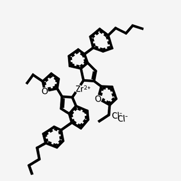 CCCCc1ccc(-c2cccc3c2C=C(c2ccc(CC)o2)[CH]3[Zr+2][CH]2C(c3ccc(CC)o3)=Cc3c(-c4ccc(CCCC)cc4)cccc32)cc1.[Cl-].[Cl-]